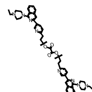 CCN1CCN(c2nc(-c3ccc(CCC(C)(C)OC(=O)C(=O)OC(C)(C)CCc4ccc(-c5cc6ccccc6c(N6CCN(CC)CC6)n5)cn4)nc3)cc3ccccc23)CC1